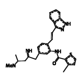 CNC(C)CC(=N)Cc1ccc(/C=C/c2n[nH]c3ccccc23)c(NC(=O)c2sccc2C)c1